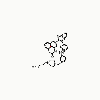 COCCCN1CCN(Cc2cccc(Nc3nccc(-c4c(-c5cccc(NC(=O)Cc6ccccc6)c5)nc5sccn45)n3)c2)CC1